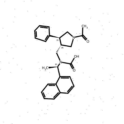 CC(=O)N1C[C@H](CN(C(=O)O)[C@H](C)c2cccc3ccccc23)[C@@H](c2ccccc2)C1